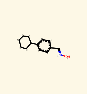 ON=Cc1ccc(C2CCCCC2)cc1